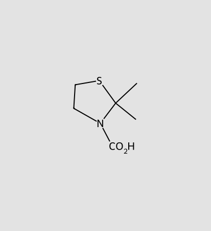 CC1(C)SCCN1C(=O)O